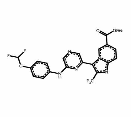 COC(=O)c1ccc2nc(C(F)(F)F)c(-c3cncc(Nc4ccc(OC(F)F)cc4)n3)n2c1